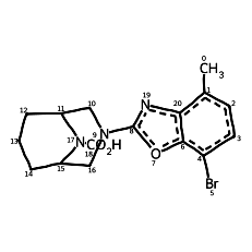 Cc1ccc(Br)c2oc(N3CC4CCCC(C3)N4C(=O)O)nc12